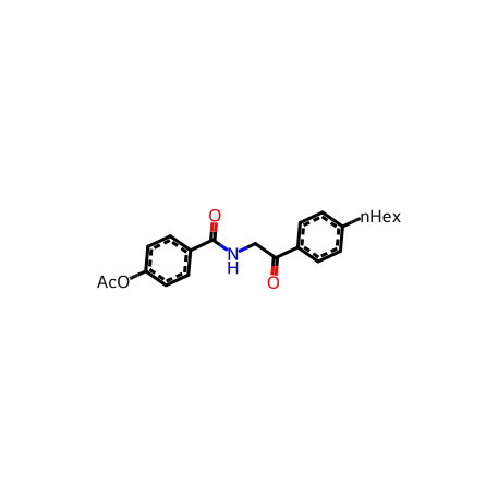 CCCCCCc1ccc(C(=O)CNC(=O)c2ccc(OC(C)=O)cc2)cc1